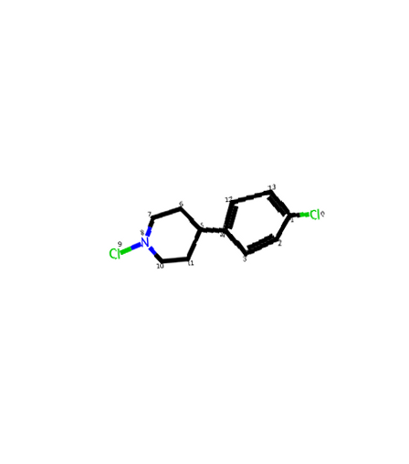 Clc1ccc(C2CCN(Cl)CC2)cc1